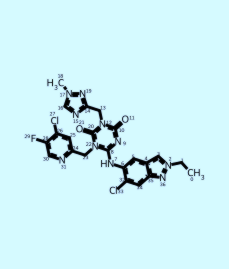 CCn1cc2cc(Nc3nc(=O)n(Cc4ncn(C)n4)c(=O)n3Cc3cc(Cl)c(F)cn3)c(Cl)cc2n1